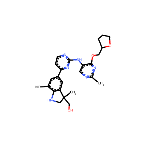 Cc1ncc(Nc2nccc(-c3cc(C#N)c4c(c3)C(C)(CO)CN4)n2)c(OCC2CCCO2)n1